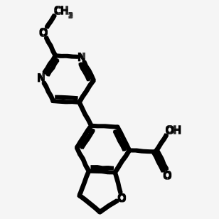 COc1ncc(-c2cc3c(c(C(=O)O)c2)OCC3)cn1